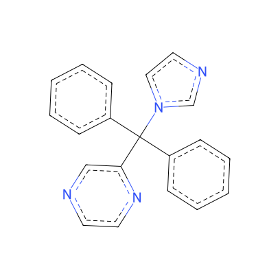 c1ccc(C(c2ccccc2)(c2cnccn2)n2ccnc2)cc1